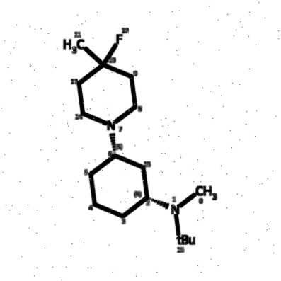 CN([C@@H]1CCC[C@H](N2CCC(C)(F)CC2)C1)C(C)(C)C